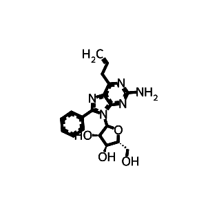 C=CCc1nc(N)nc2c1nc(-c1ccccc1)n2C1O[C@H](CO)[C@@H](O)[C@H]1O